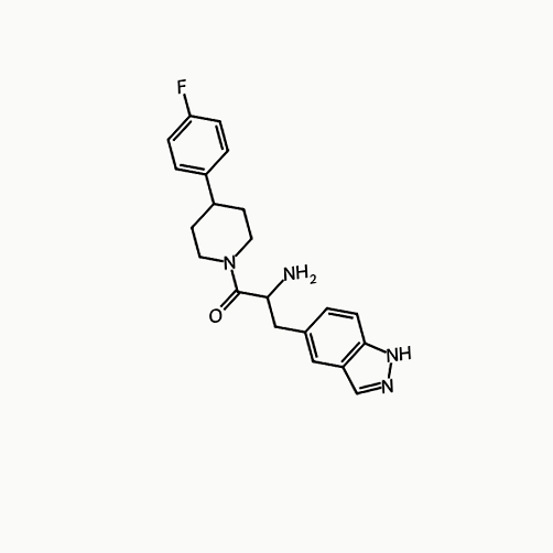 NC(Cc1ccc2[nH]ncc2c1)C(=O)N1CCC(c2ccc(F)cc2)CC1